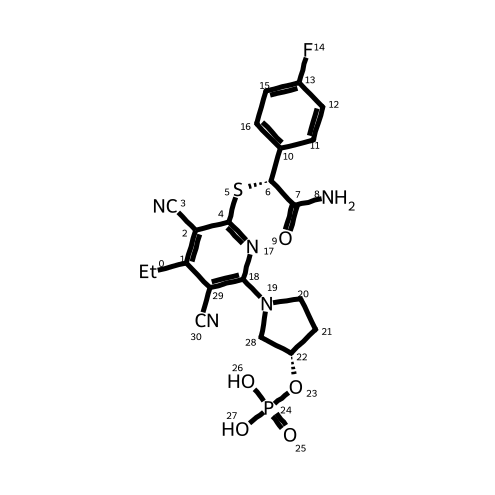 CCc1c(C#N)c(S[C@@H](C(N)=O)c2ccc(F)cc2)nc(N2CC[C@H](OP(=O)(O)O)C2)c1C#N